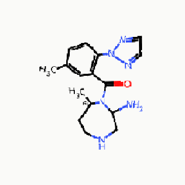 Cc1ccc(-n2nccn2)c(C(=O)N2C(N)CNCC[C@H]2C)c1